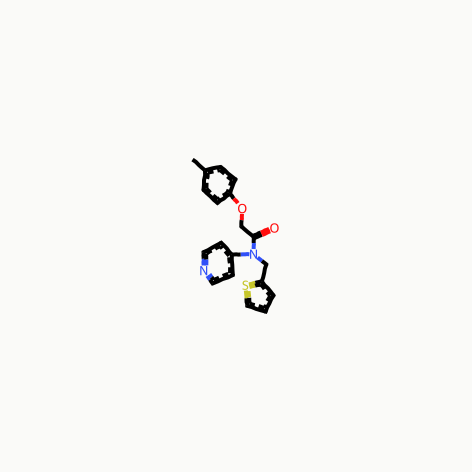 Cc1ccc(OCC(=O)N(Cc2cccs2)c2ccncc2)cc1